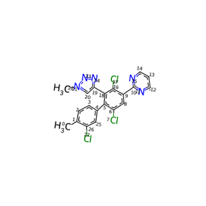 Cc1ccc(-c2c(Cl)cc(-c3n[c]ccn3)c(Cl)c2-c2cn(C)nn2)cc1Cl